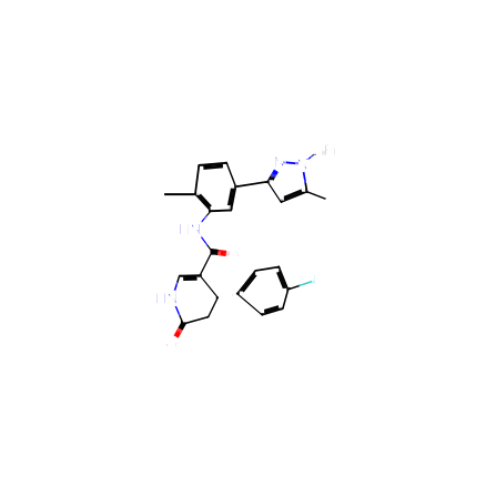 CCCn1nc(-c2ccc(C)c(NC(=O)C3=CNC(=O)C[C@H]3c3ccc(F)cc3)c2)cc1C